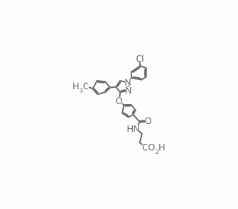 Cc1ccc(-c2cn(-c3cccc(Cl)c3)nc2Oc2ccc(C(=O)NCCC(=O)O)cc2)cc1